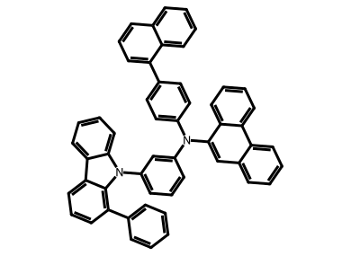 c1ccc(-c2cccc3c4ccccc4n(-c4cccc(N(c5ccc(-c6cccc7ccccc67)cc5)c5cc6ccccc6c6ccccc56)c4)c23)cc1